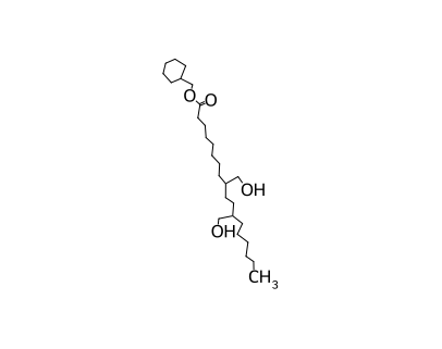 CCCCCCC(CO)CCC(CO)CCCCCCCC(=O)OCC1CCCCC1